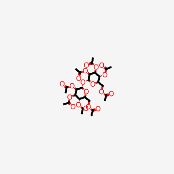 CC(=O)OCC1O[C@H](O[C@@H]2OC(COC(C)=O)[C@H](OC(C)=O)C(OC(C)=O)C2OC(C)=O)C(OC(C)=O)C(OC(C)=O)[C@@H]1OC(C)=O